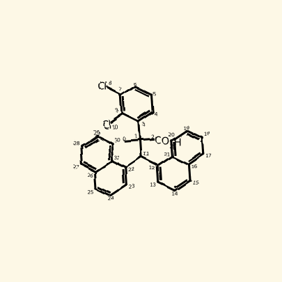 CC(C(=O)O)(c1cccc(Cl)c1Cl)C(c1cccc2ccccc12)c1cccc2ccccc12